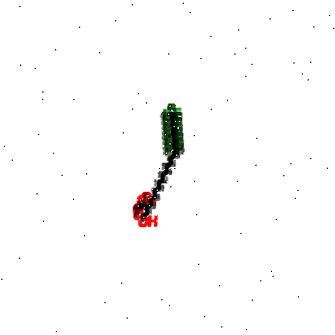 O=C(O)CC(CC(=O)CCCCCCCCCCCC(F)(F)C(F)(F)C(F)(F)C(F)(F)C(F)(F)C(F)(F)C(F)(F)C(F)(F)F)C(=O)O